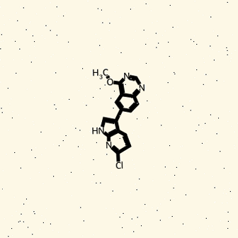 COc1ncnc2ccc(-c3c[nH]c4nc(Cl)ccc34)cc12